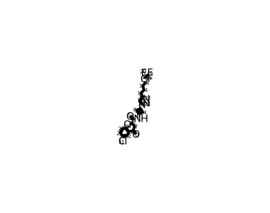 O=C1C[C@H](C(=O)NC23CC(n4cc(CCCCOC(F)(F)F)nn4)(C2)C3)Oc2ccc(Cl)cc21